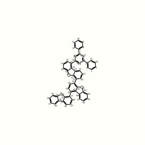 c1ccc(-c2nc(-c3ccccc3)nc(-c3cccc4oc5c(-c6ccc(-c7cccc8c7sc7ccccc78)c7c6oc6ccccc67)cccc5c34)n2)cc1